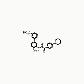 COc1ccc(-c2cccc(C(=O)O)c2)cc1CNC(=O)c1ccc(C2CCCCC2)cc1